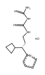 Cl.N=C(N)NC(=N)NCC[C@H](c1ccccc1)C1CCC1